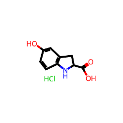 Cl.O=C(O)C1Cc2cc(O)ccc2N1